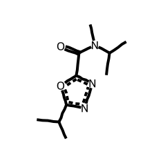 CC(C)c1nnc(C(=O)N(C)C(C)C)o1